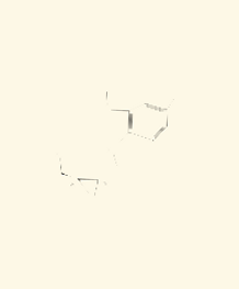 O=COc1cc(Cl)ccc1OC[C@@H]1O[C@H]1CCl